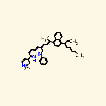 C=CC(CCCCC)C1=c2ccccc2=C(/C(C)=C/C=C(/C=C/C=C\C(=N)C(/C=C\N)CC)CNc2ccccc2)CC1